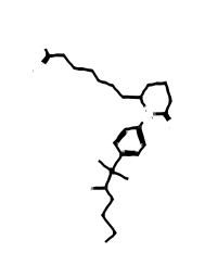 CCCCC(O)C(C)(C)c1ccc(N2C(=O)CCCC2CCCCCCC(=O)O)cc1